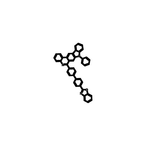 c1ccc(-n2c3ccccc3c3cc4c(cc32)c(-c2ccc(-c3ccc(-c5nc6ccccc6o5)cc3)cc2)nc2ccccc24)cc1